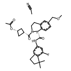 CC#N.COCc1ccc2c(c1)CCN(C(=O)[C@H]1C[C@@H](OC(C)=O)C1)[C@H]2C(=O)Nc1cc(F)c2c(c1)CCC2(C)C